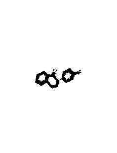 O=C1c2ccccc2CC[C@H]1c1ccc(F)cc1